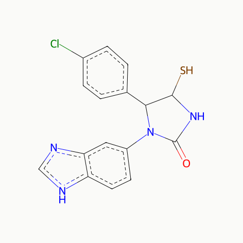 O=C1NC(S)C(c2ccc(Cl)cc2)N1c1ccc2[nH]cnc2c1